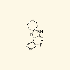 O=C1NC2(CCCCCC2)N=C1c1ccccc1F